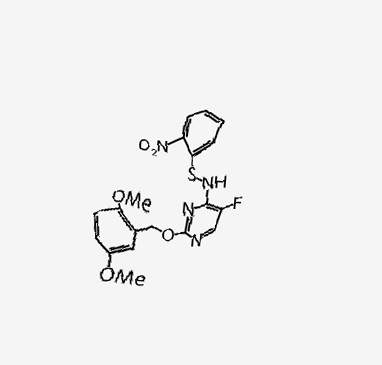 COc1ccc(OC)c(COc2ncc(F)c(NSc3ccccc3[N+](=O)[O-])n2)c1